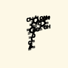 CO[C@@]1(c2ccc(Cl)c(Cc3ccc(OCCOC4CC4)cc3)c2)O[C@H](CO)[C@@H](O)C[C@H]1O